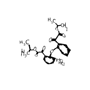 CC(C)OC(=O)C(=O)c1ccccc1Oc1ccccc1C(=O)C(=O)OC(C)C.Cl.Cl